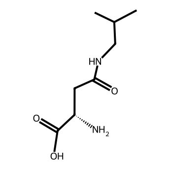 CC(C)CNC(=O)C[C@H](N)C(=O)O